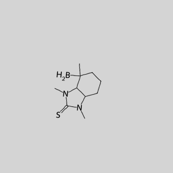 BC1(C)CCCC2C1N(C)C(=S)N2C